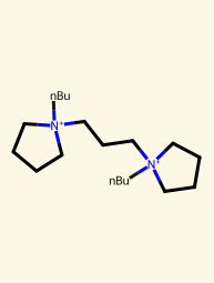 CCCC[N+]1(CCC[N+]2(CCCC)CCCC2)CCCC1